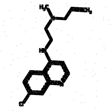 C=CCN(C)CCNc1ccnc2cc(Cl)ccc12